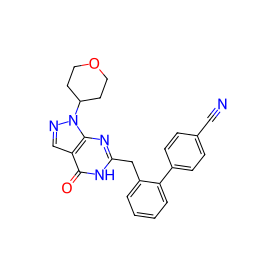 N#Cc1ccc(-c2ccccc2Cc2nc3c(cnn3C3CCOCC3)c(=O)[nH]2)cc1